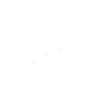 CC1OC(c2coc(N(C)CC(=O)N(C)C)n2)O1